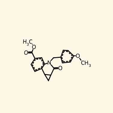 COC(=O)c1ccc2c(c1)N(Cc1ccc(OC)cc1)C(=O)C1CC21